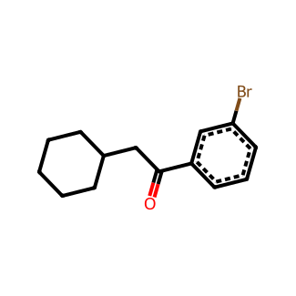 O=C(CC1CCCCC1)c1cccc(Br)c1